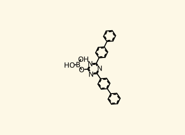 OB(O)Oc1nc(-c2ccc(-c3ccccc3)cc2)nc(-c2ccc(-c3ccccc3)cc2)n1